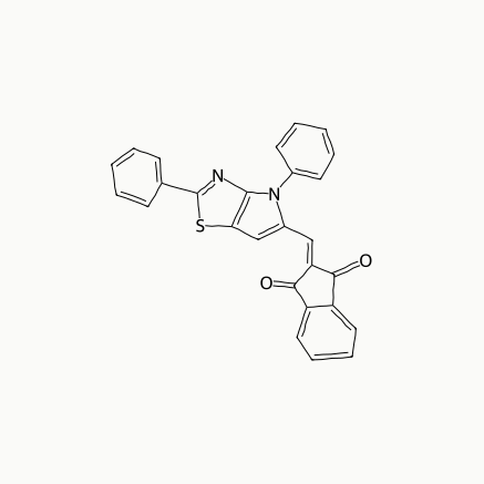 O=C1C(=Cc2cc3sc(-c4ccccc4)nc3n2-c2ccccc2)C(=O)c2ccccc21